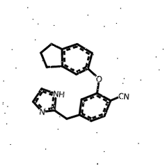 N#Cc1ccc(Cc2ncc[nH]2)cc1Oc1ccc2c(c1)CCC2